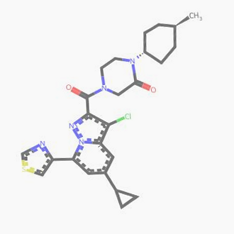 C[C@H]1CC[C@H](N2CCN(C(=O)c3nn4c(-c5cscn5)cc(C5CC5)cc4c3Cl)CC2=O)CC1